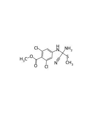 COC(=O)c1c(Cl)cc(NC(N)(C#N)SC)cc1Cl